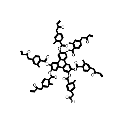 C=CC(=O)Cc1ccc(C(=O)Oc2cc3c4cc(OC(=O)c5ccc(CC(=O)C=C)cc5C)c(OC(=O)c5ccc(CC(=O)C=C)cc5C)cc4c4cc(OC(=O)c5ccc(CC(=O)CC)cc5C)c(OC(=O)c5ccc(CC(=O)C=C)cc5C)cc4c3cc2OC(=O)c2ccc(CC(=O)C=C)cc2C)c(C)c1